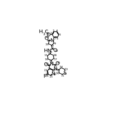 COc1ccccc1N1CC(C(=O)NC2CCC(n3c(=O)c4cc(F)cnc4n(C4CCSCC4)c3=O)CC2)CC1=O